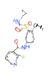 Cc1ccc(NC(=O)c2cccnc2F)cc1S(=O)(=O)NC1CC1